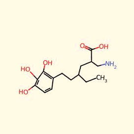 CCC(CCc1ccc(O)c(O)c1O)CC(CN)C(=O)O